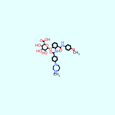 COc1ccc(NC(=O)c2cccc(O[C@@H]3O[C@H](C(=O)O)[C@@H](O)[C@H](O)[C@H]3O)c2NC(=O)c2ccc(N3CCCN(C)CC3)cc2)cc1